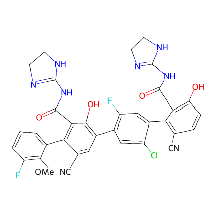 COc1c(F)cccc1-c1c(C#N)cc(-c2cc(Cl)c(-c3c(C#N)ccc(O)c3C(=O)NC3=NCCN3)cc2F)c(O)c1C(=O)NC1=NCCN1